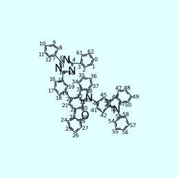 c1ccc(-c2nc(-c3ccccc3)nc(-c3cccc(-c4cc5c6ccccc6oc5c5c4c4ccccc4n5-c4ccc5c(c4)c4ccccc4n5-c4ccccc4)c3)n2)cc1